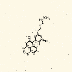 CNCCCSC1=CN(N)NC(c2c(Cl)cc3c4c(cccc24)COC3)=N1